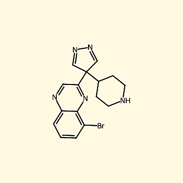 Brc1cccc2ncc(C3(C4CCNCC4)C=NN=C3)nc12